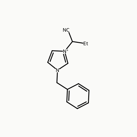 CCC(C#N)[n+]1ccn(Cc2ccccc2)c1